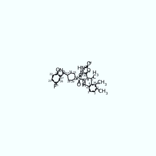 Cc1ccc(F)c(C(C)[C@H](NS(=O)(=O)N2CCC(c3noc4ccc(F)cc34)CC2)c2n[nH]c(=O)o2)c1C